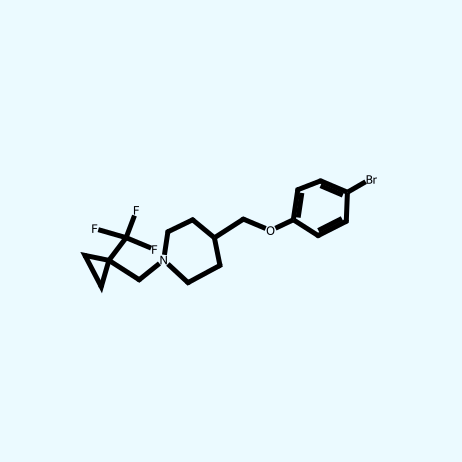 FC(F)(F)C1(CN2CCC(COc3ccc(Br)cc3)CC2)CC1